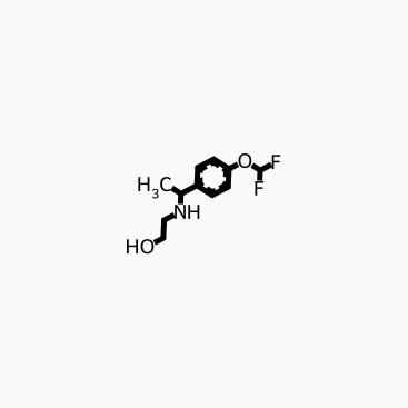 CC(NCCO)c1ccc(OC(F)F)cc1